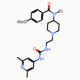 CCN(C(=O)c1ccc(OC)cc1)C1CCN(CCNC(=O)Nc2cc(C)nc(C)c2)CC1